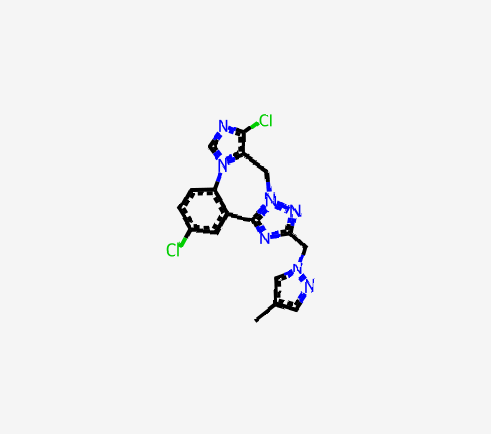 Cc1cnn(Cc2nc3n(n2)Cc2c(Cl)ncn2-c2ccc(Cl)cc2-3)c1